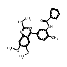 CNc1nc(-c2ccc(C)c(NC(=O)c3ccccc3)c2)c2cc(OC)c(OC)cc2n1